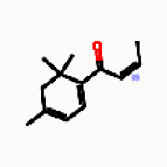 C/C=C\C(=O)C1=CC=C(C)CC1(C)C